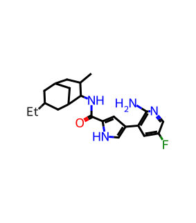 CCC1CC2CC(C)C(NC(=O)c3cc(-c4cc(F)cnc4N)c[nH]3)C(C1)C2